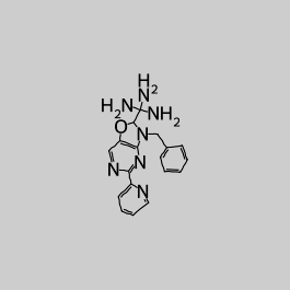 NC(N)(N)C1Oc2cnc(-c3ccccn3)nc2N1Cc1ccccc1